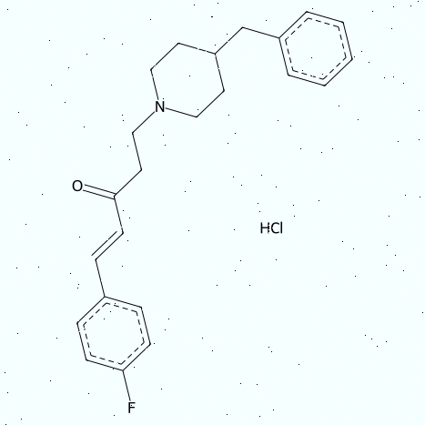 Cl.O=C(C=Cc1ccc(F)cc1)CCN1CCC(Cc2ccccc2)CC1